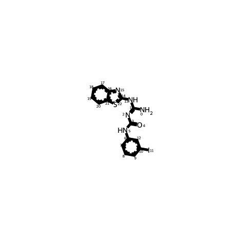 NC(=NC(=O)Nc1cccc(I)c1)Nc1nc2ccccc2s1